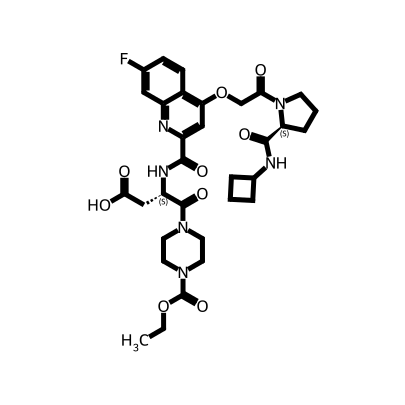 CCOC(=O)N1CCN(C(=O)[C@H](CC(=O)O)NC(=O)c2cc(OCC(=O)N3CCC[C@H]3C(=O)NC3CCC3)c3ccc(F)cc3n2)CC1